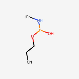 CC(C)NP(O)OCCC#N